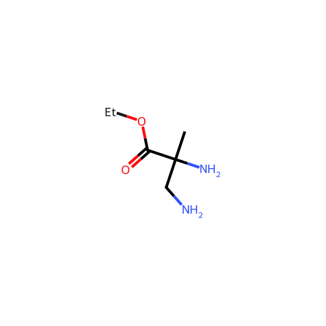 CCOC(=O)C(C)(N)CN